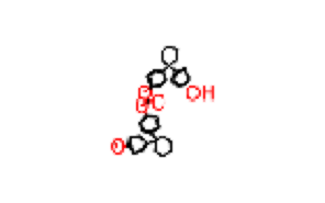 COc1ccc(C2(c3ccc(OC(=O)Oc4ccc(C5(c6ccc(O)cc6)CCCCC5)cc4)cc3)CCCCC2)cc1